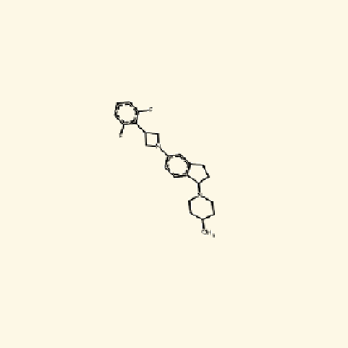 CC1CCN(C2CCc3cc(N4CC(c5c(F)cccc5F)C4)ccc32)CC1